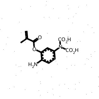 C=C(C)C(=O)Oc1cc(N(C(=O)O)C(=O)O)ccc1N